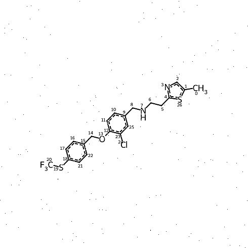 Cc1cnc(CCNCc2ccc(OCc3ccc(SC(F)(F)F)cc3)c(Cl)c2)s1